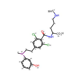 CSNCCCC(NC(=O)c1c(Cl)cc(CCP(C)c2cccc(O)c2)cc1Cl)C(=O)O